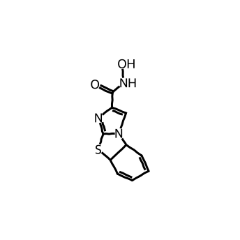 O=C(NO)c1cn2c(n1)SC1C=CC=CC12